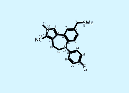 CSCc1ccc2c(c1)-c1cn(C)c(C#N)c1CCN2c1ccc(F)cc1